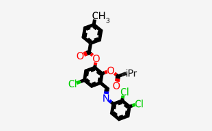 Cc1ccc(C(=O)Oc2cc(Cl)cc(C=Nc3cccc(Cl)c3Cl)c2OC(=O)C(C)C)cc1